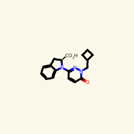 O=C(O)[C@@H]1Cc2ccccc2N1c1ccc(=O)n(CC2CCC2)n1